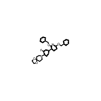 Fc1cc(-c2ccc(OCc3ccccc3)nc2OCc2ccccc2)ccc1N1CCC2(CC1)OCCO2